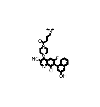 CN(C)C/C=C/C(=O)N1CCN(c2c(C#N)cnc3c(Cl)c(-c4cc(O)cc5ccccc45)c(F)cc23)CC1